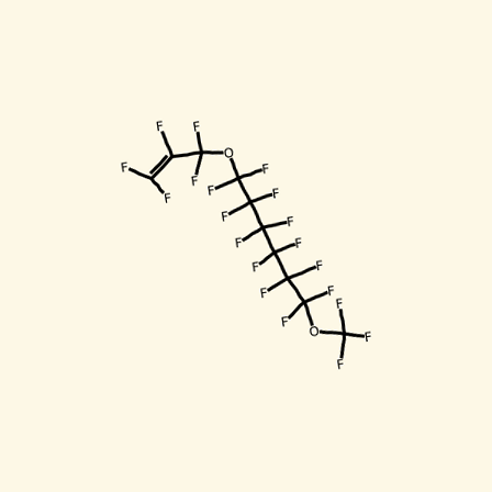 FC(F)=C(F)C(F)(F)OC(F)(F)C(F)(F)C(F)(F)C(F)(F)C(F)(F)C(F)(F)OC(F)(F)F